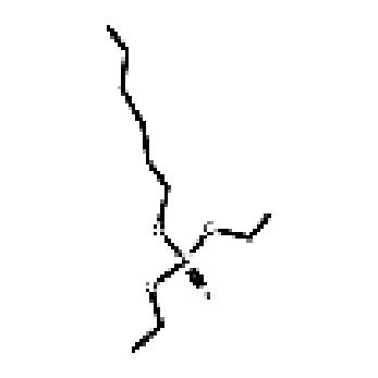 CCCCCCOP(=S)(OCC)OCC